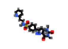 CN(CCc1ccccn1)S(=O)(=O)c1ccc(-c2cc3c([nH]2)c(=O)n(C)c(=O)n3C)cc1